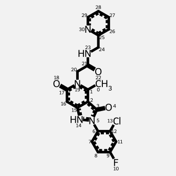 Cc1c2c(=O)n(-c3ccc(F)cc3Cl)[nH]c2cc(=O)n1CC(=O)NCc1ccccn1